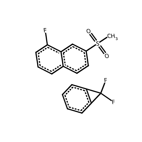 CS(=O)(=O)c1ccc2cccc(F)c2c1.FC1(F)c2ccccc21